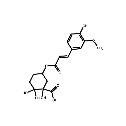 COc1cc(/C=C/C(=O)OC2CCC(O)(O)C(O)(C(=O)O)C2)ccc1O